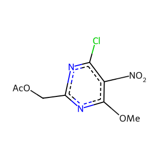 COc1nc(COC(C)=O)nc(Cl)c1[N+](=O)[O-]